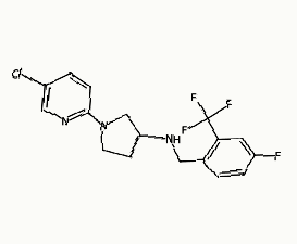 Fc1ccc(CNC2CCN(c3ccc(Cl)cn3)C2)c(C(F)(F)F)c1